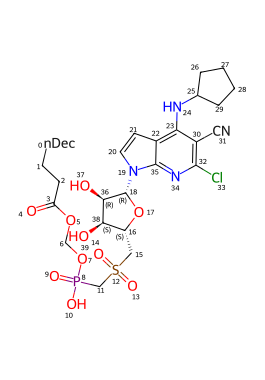 CCCCCCCCCCCCC(=O)OCOP(=O)(O)CS(=O)(=O)C[C@H]1O[C@@H](n2ccc3c(NC4CCCC4)c(C#N)c(Cl)nc32)[C@H](O)[C@@H]1O